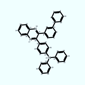 c1ccc(-c2cccc(-c3nc4ccccc4nc3-c3ccc(N(c4ccccc4)c4ccccc4)cc3)c2)cc1